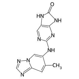 Cc1cc2ncnn2cc1Nc1ncc2[nH]c(=O)[nH]c2n1